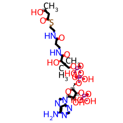 C[C@H](O)CC(=O)SCCNC(=O)CCNC(=O)C(O)C(C)(C)COP(=O)(O)OP(=O)(O)OC[C@H]1O[C@@H](n2cnc3c(N)ncnc32)[C@H](O)[C@@H]1OP(=O)(O)O